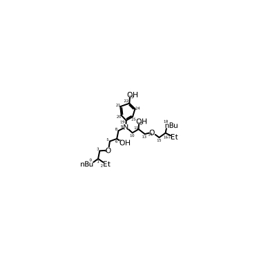 CCCCC(CC)COCC(O)CN(CC(O)COCC(CC)CCCC)c1ccc(O)cc1